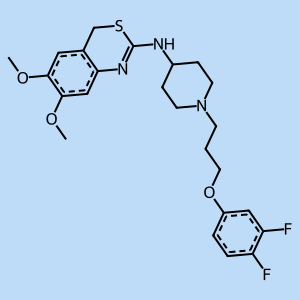 COc1cc2c(cc1OC)N=C(NC1CCN(CCCOc3ccc(F)c(F)c3)CC1)SC2